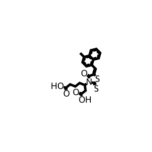 Cc1ccc(C=C2SC(=S)N(C(CCCC(=O)O)CC(=O)O)C2=O)c2ccccc12